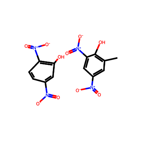 Cc1cc([N+](=O)[O-])cc([N+](=O)[O-])c1O.O=[N+]([O-])c1ccc([N+](=O)[O-])c(O)c1